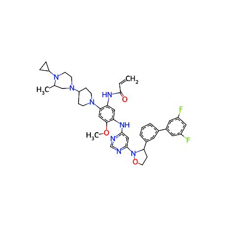 C=CC(=O)Nc1cc(Nc2cc(N3OCCC3c3cccc(-c4cc(F)cc(F)c4)c3)ncn2)c(OC)cc1N1CCC(N2CCN(C3CC3)C(C)C2)CC1